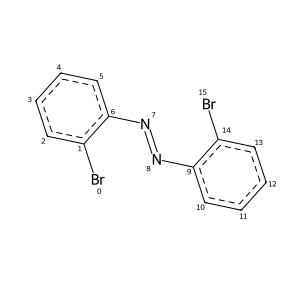 Brc1ccccc1/N=N/c1ccccc1Br